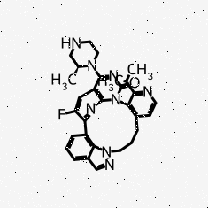 CC(C)c1nccc2c1-n1c(=O)nc(N3CCNC[C@@H]3C)c3cc(F)c(nc31)-c1cccc3cnn(c13)CCC2